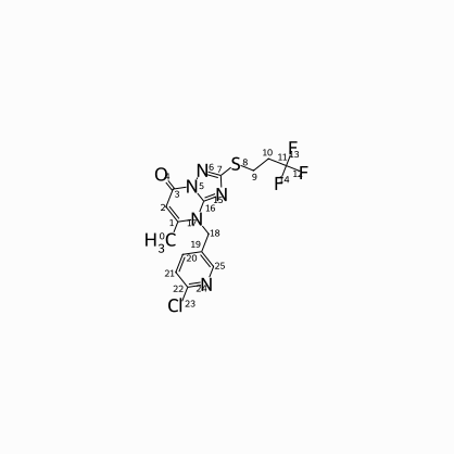 Cc1cc(=O)n2nc(SCCC(F)(F)F)nc2n1Cc1ccc(Cl)nc1